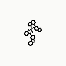 c1ccc2cc3c(cc2c1)-c1cccc2cccc(c12)N3c1nc(-c2ccc3sc4ccccc4c3c2)c2ccccc2n1